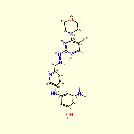 CN(C)c1cc(O)cc(Nc2ccc(C/N=N/c3ncc(F)c(N4CCOCC4)n3)nc2)c1